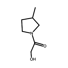 CC1CCN(C(=O)CO)C1